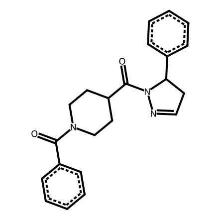 O=C(c1ccccc1)N1CCC(C(=O)N2N=CCC2c2ccccc2)CC1